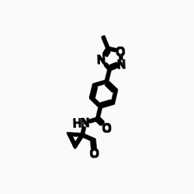 Cc1nc(-c2ccc(C(=O)NC3(C=O)CC3)cc2)no1